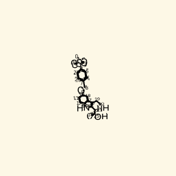 CS(=O)(=O)c1ccc(COc2ccc3[nH]c4c(c3c2)CCNC4C(=O)O)cc1